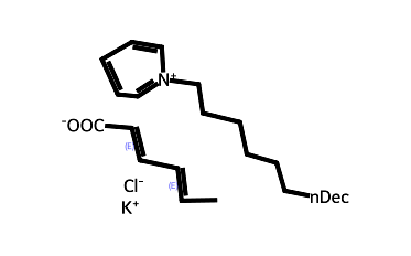 C/C=C/C=C/C(=O)[O-].CCCCCCCCCCCCCCCC[n+]1ccccc1.[Cl-].[K+]